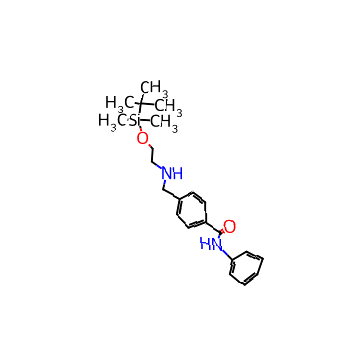 CC(C)(C)[Si](C)(C)OCCNCc1ccc(C(=O)Nc2ccccc2)cc1